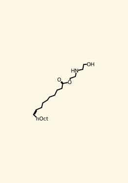 CCCCCCCC/C=C\CCCCCCCC(=O)OCCNCCO